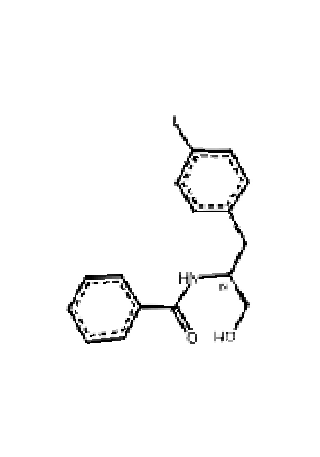 O=C(N[C@H](CO)Cc1ccc(I)cc1)c1ccccc1